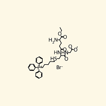 CCOC(=O)C(N)CCC(=O)NC(C[SH]=CCCCC[P+](c1ccccc1)(c1ccccc1)c1ccccc1)C(=O)NCC(=O)OC.[Br-]